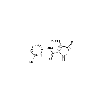 CC(=O)N[C@H]1[C@@H](C(=O)Nc2cccc(Br)n2)NC[C@@H]1F